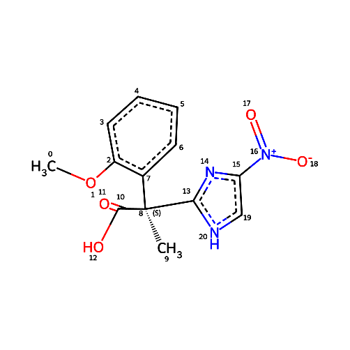 COc1ccccc1[C@](C)(C(=O)O)c1nc([N+](=O)[O-])c[nH]1